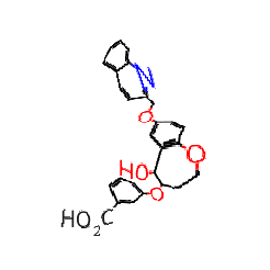 O=C(O)c1cccc(O[C@H]2CCOc3ccc(OCc4ccc5ccccc5n4)cc3[C@@H]2O)c1